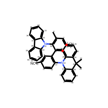 Cc1cc(C#N)cc(-c2cc(C#N)ccc2N2c3ccccc3C(C)(C)c3ccccc32)c1-n1c2ccccc2c2ccccc21